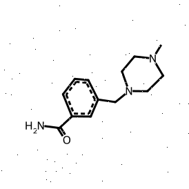 CN1CCN(Cc2cccc(C(N)=O)c2)CC1